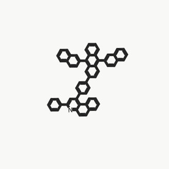 c1ccc(-c2cc(-c3ccc(-c4ccc5c(-c6ccc7ccccc7c6)c6ccccc6c(-c6ccc7ccccc7c6)c5c4)cc3)c3c(ccc4ccccc43)n2)cc1